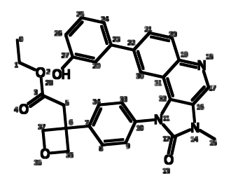 CCOC(=O)CC1(c2ccc(-n3c(=O)n(C)c4cnc5ccc(-c6cccc(O)c6)cc5c43)cc2)COC1